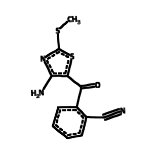 CSc1nc(N)c(C(=O)c2ccccc2C#N)s1